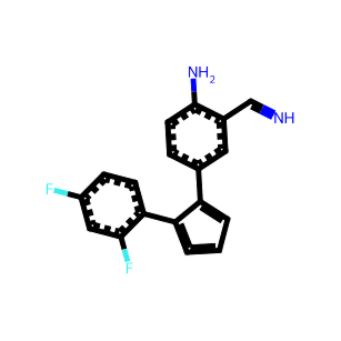 N=Cc1cc(C2=CC=C=C2c2ccc(F)cc2F)ccc1N